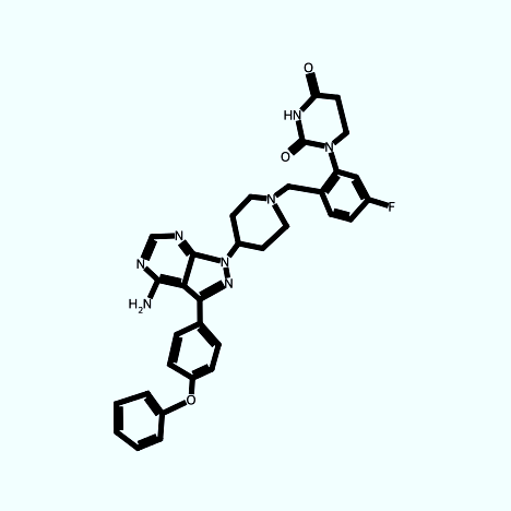 Nc1ncnc2c1c(-c1ccc(Oc3ccccc3)cc1)nn2C1CCN(Cc2ccc(F)cc2N2CCC(=O)NC2=O)CC1